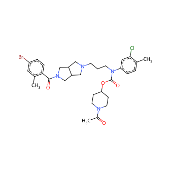 CC(=O)N1CCC(OC(=O)N(CCCN2CC3CN(C(=O)c4ccc(Br)cc4C)CC3C2)c2ccc(C)c(Cl)c2)CC1